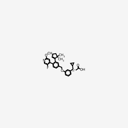 COc1cc(-c2ccc(COc3cccc([C@@H](CC(=O)O)C4CC4)c3)cc2C2=CCCC2(C)C)c(F)cn1